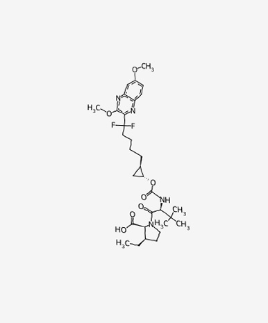 CC[C@@H]1CCN(C(=O)[C@@H](NC(=O)O[C@@H]2C[C@H]2CCCCC(F)(F)c2nc3ccc(OC)cc3nc2OC)C(C)(C)C)[C@@H]1C(=O)O